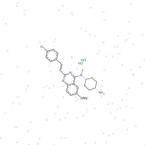 COc1ccc2nc(C=Cc3ccc(Cl)cc3)nc(N(C)[C@H]3CC[C@@H](N)CC3)c2c1.Cl.Cl